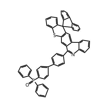 O=P(c1ccccc1)(c1ccccc1)c1ccc(-c2ccc(-c3nc4ccccc4c4cc5c(cc34)Sc3ccccc3C53c4ccccc4-c4ccccc43)cc2)cc1